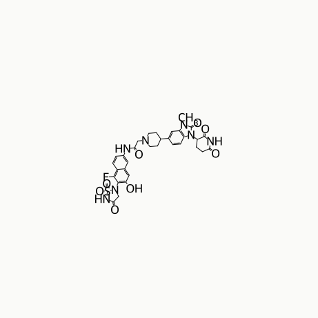 Cn1c(=O)n(C2CCC(=O)NC2=O)c2ccc(C3CCN(CC(=O)Nc4ccc5c(F)c(N6CC(=O)NS6(=O)=O)c(O)cc5c4)CC3)cc21